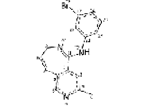 Cc1cc2c(cn1)C=CCN=C2Nc1cccc(Br)c1